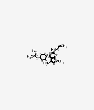 C=CCNc1nc2c(c(N)cn2C)c([C@H]2CC[C@H](OC(C)OCC)CC2)n1